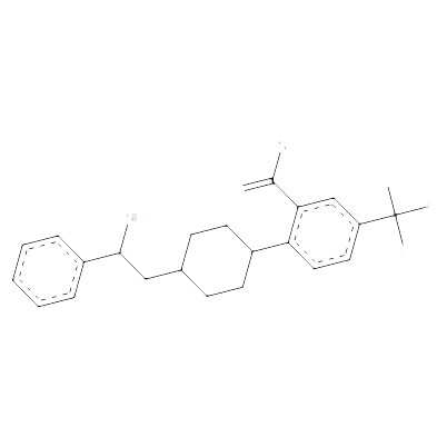 NC(=O)c1cc(C(F)(F)F)ccc1C1CCC(CC(N)c2ccccc2)CC1